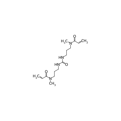 C=CC(=O)N(C)CCCNC(=O)NCCCN(C)C(=O)C=C